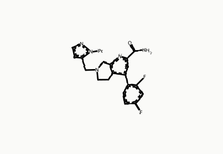 CC(C)n1nccc1CN1CCc2c(-c3ccc(F)cc3F)cc(C(N)=O)nc2C1